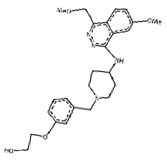 COCc1nnc(NC2CCN(Cc3cccc(OCCO)c3)CC2)c2cc(OC)ccc12